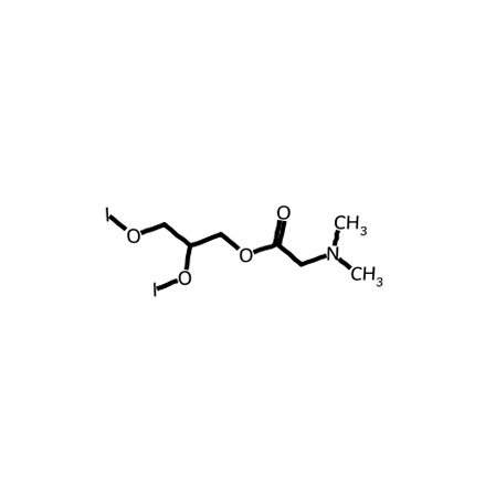 CN(C)CC(=O)OCC(COI)OI